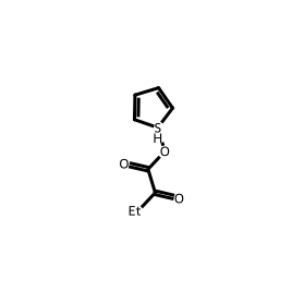 CCC(=O)C(=O)O[SH]1C=CC=C1